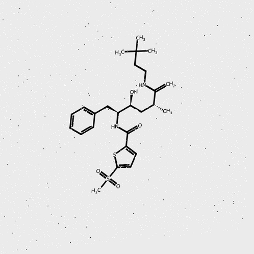 C=C(NCCC(C)(C)C)[C@H](C)C[C@H](O)[C@H](Cc1ccccc1)NC(=O)c1ccc(S(C)(=O)=O)s1